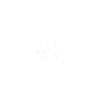 NC1OC(CO)C(O)C(OC2OC(CO)C(O)C(O)C2O)C1N